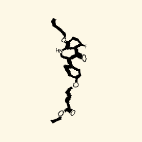 CCCOc1ccc(F)c2c(=O)c(-c3ccc(OCCCC(=O)OCC)cc3)c[nH]c12